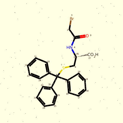 O=C(CBr)N[C@@H](CSC(c1ccccc1)(c1ccccc1)c1ccccc1)C(=O)O